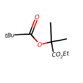 CCOC(=O)C(C)(C)OC(=O)C(C)(C)C